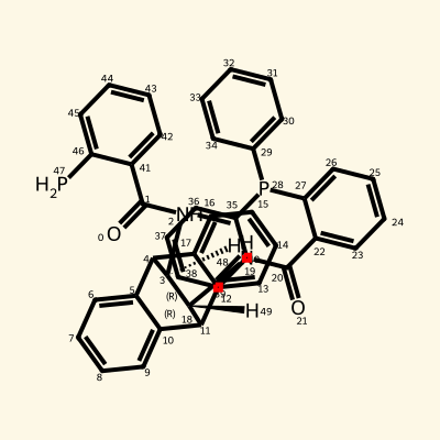 O=C(N[C@@H]1C2c3ccccc3C(c3ccccc32)[C@H]1NC(=O)c1ccccc1P(c1ccccc1)c1ccccc1)c1ccccc1P